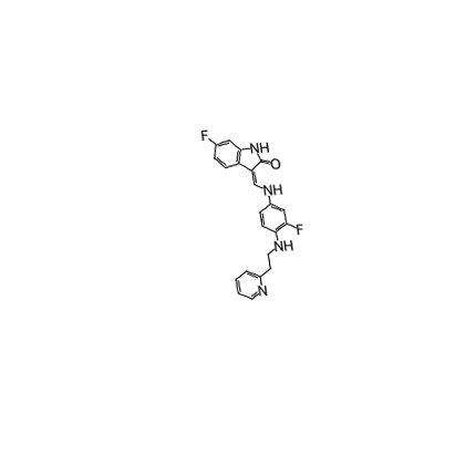 O=C1Nc2cc(F)ccc2C1=CNc1ccc(NCCc2ccccn2)c(F)c1